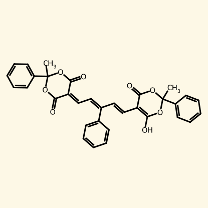 CC1(c2ccccc2)OC(=O)C(=C/C=C(/C=C/C2=C(O)OC(C)(c3ccccc3)OC2=O)c2ccccc2)C(=O)O1